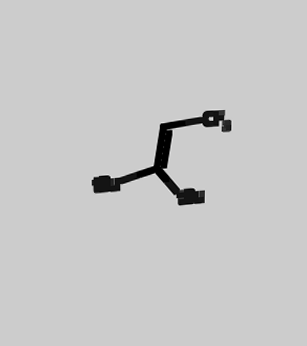 CC(C)(C)C(=CC(F)(F)F)C(C)(C)C